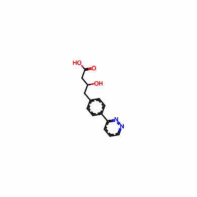 O=C(O)CC(O)Cc1ccc(-c2cccnn2)cc1